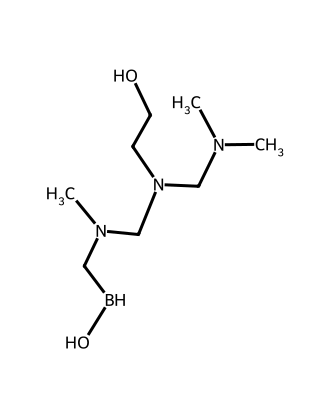 CN(C)CN(CCO)CN(C)CBO